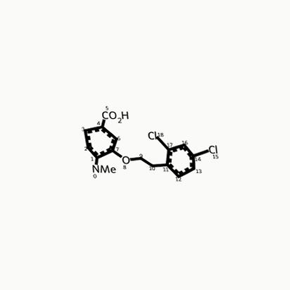 CNc1ccc(C(=O)O)cc1OCCc1ccc(Cl)cc1Cl